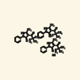 Cc1[nH]n(-c2ccccc2)c(=O)c1C(=O)C(C)(C)C.Cc1[nH]n(-c2ccccc2)c(=O)c1C(=O)C(C)(C)C.Cc1[nH]n(-c2ccccc2)c(=O)c1C(=O)C(C)(C)C.[Gd]